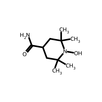 CC1(C)CC(C(N)=O)CC(C)(C)N1O